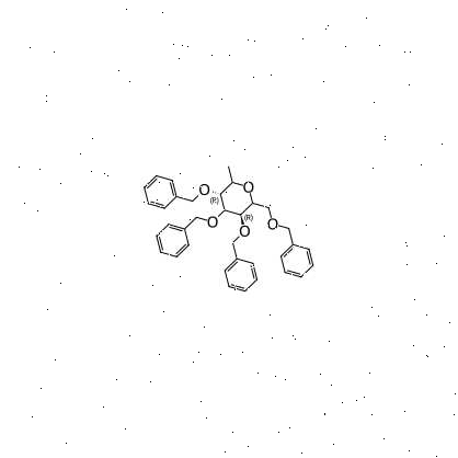 CC1OC(COCc2ccccc2)[C@@H](OCc2ccccc2)C(OCc2ccccc2)[C@@H]1OCc1ccccc1